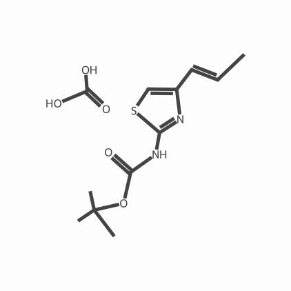 C/C=C/c1csc(NC(=O)OC(C)(C)C)n1.O=C(O)O